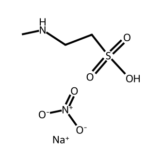 CNCCS(=O)(=O)O.O=[N+]([O-])[O-].[Na+]